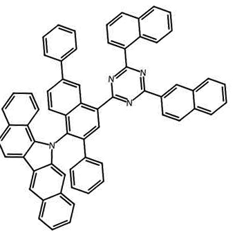 c1ccc(-c2ccc3c(-n4c5cc6ccccc6cc5c5ccc6ccccc6c54)c(-c4ccccc4)cc(-c4nc(-c5ccc6ccccc6c5)nc(-c5cccc6ccccc56)n4)c3c2)cc1